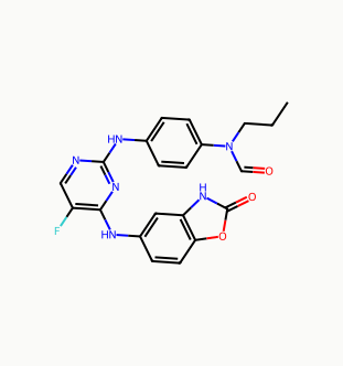 CCCN(C=O)c1ccc(Nc2ncc(F)c(Nc3ccc4oc(=O)[nH]c4c3)n2)cc1